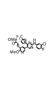 COC(=O)/C=C/c1cc(-c2cnc(Nc3ccc(F)c(Cl)c3)nc2-n2ccc(C(F)(F)F)n2)cnc1OC